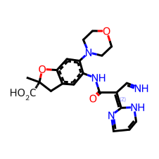 CC1(C(=O)O)Cc2cc(NC(=O)/C(C=N)=C3\N=CC=CN3)c(N3CCOCC3)cc2O1